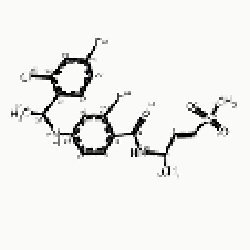 C[C@H](/C=C/S(C)(=O)=O)NC(=O)c1ccc(N[C@@H](C)c2ccc(F)cc2Cl)cc1F